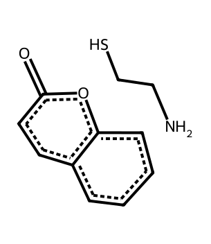 NCCS.O=c1ccc2ccccc2o1